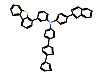 c1ccc(-c2ccc(-c3ccc(N(c4ccc(-c5ccc6ccccc6c5)cc4)c4cccc(-c5cccc6c5sc5ccccc56)c4)cc3)cc2)cc1